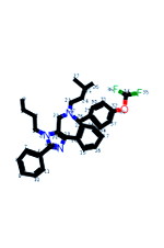 CCCCn1c(-c2ccccc2)nc(-c2ccccc2)c1CN(CCC(C)C)Cc1ccc(OC(F)F)cc1